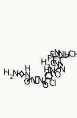 C#CCc1[nH]nc(C(F)(F)F)c1-c1cnc(C(=O)Nc2ccc(C(=O)N3CCN(C(=O)NC4CC(N)C4)CC3)c(Cl)c2)n1C